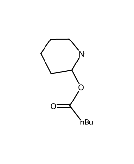 CCCCC(=O)OC1CCCC[N]1